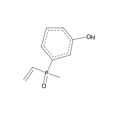 C=CP(C)(=O)c1cccc(O)c1